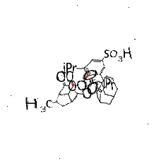 CC(C)c1cc(S(=O)(=O)O)cc(C(C)C)c1OC(=O)C1C2CC(C)C1C(=O)OC2OC(=O)C12CC3CC(C1)C(=O)C(C3)C2